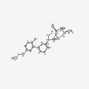 CCOc1ccc(F)c(-c2ccnc([C@H]3CC[C@]4(CC[C@H](C)NC4=O)N3)c2)c1